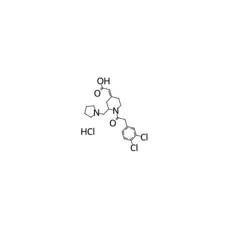 Cl.O=C(O)/C=C1/CCN(C(=O)Cc2ccc(Cl)c(Cl)c2)C(CN2CCCC2)C1